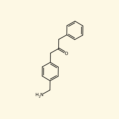 NCc1ccc(CC(=O)Cc2ccccc2)cc1